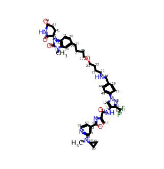 CN(c1cc(-c2nc(C(=O)Nc3cn(-c4ccc(CNCCCCOCCCCc5ccc6c(c5)n(C)c(=O)n6[C@H]5CCC(=O)NC5=O)cc4)nc3C(F)F)co2)ccn1)C1CC1